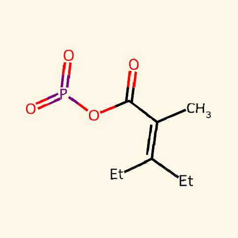 CCC(CC)=C(C)C(=O)OP(=O)=O